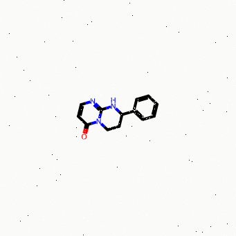 O=c1ccnc2n1CCC(c1ccccc1)N2